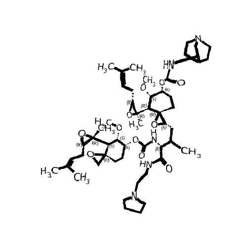 CO[C@@H]1[C@H](OC(=O)N[C@@H](C(=O)NCCN2CCCC2)C(C)C[C@@H]2O[C@@]23CC[C@@H](OC(=O)NC2CN4CCC2CC4)[C@@H](OC)[C@@H]3[C@@]2(C)O[C@@H]2CC=C(C)C)CC[C@]2(CO2)[C@H]1[C@@]1(C)O[C@@H]1CC=C(C)C